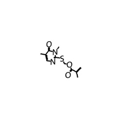 C=C(C)C(=O)OCSc1ncc(C)c(=O)n1C